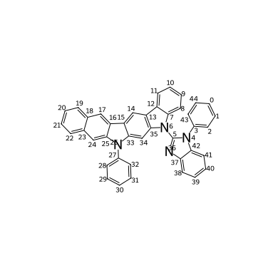 c1ccc(-n2c(-n3c4ccccc4c4cc5c6cc7ccccc7cc6n(-c6ccccc6)c5cc43)nc3ccccc32)cc1